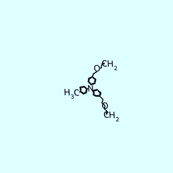 C=CCOCCc1ccc(N(c2ccc(C)cc2)c2ccc(CCOCC=C)cc2)cc1